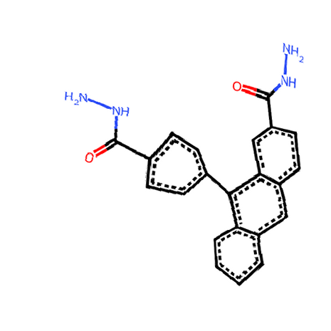 NNC(=O)c1ccc(-c2c3ccccc3cc3ccc(C(=O)NN)cc23)cc1